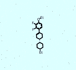 CCOc1ccc(C2=CCC([C@H]3CC[C@H](CC)CC3)CC2)c(F)c1F